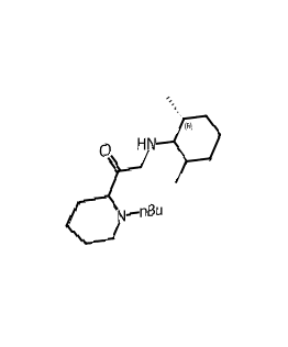 CCCCN1CCCCC1C(=O)CNC1C(C)CCC[C@H]1C